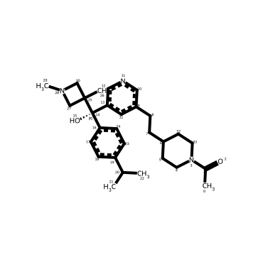 CC(=O)N1CCC(CCc2cncc([C@@](O)(c3ccc(C(C)C)cc3)C3(C)CN(C)C3)c2)CC1